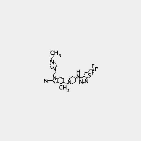 CCCN1CCN(CCn2c(C#N)cc3c(C)c(CN4CCC(Nc5ncnc6sc(CC(F)(F)F)cc56)CC4)ccc32)CC1